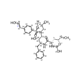 CSCC[C@H](NC(=O)O)C(=O)N[C@@H](Cc1ccccc1)[C@H](O)CN(CC(C)C)S(=O)(=O)c1ccc(/C=N/O)cc1